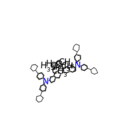 C[Si](C)(C)C1([Si](C)(C)C)c2cc3cc(N(c4ccc(C5CCCCC5)cc4)c4ccc(C5CCCCC5)cc4)ccc3cc2-c2cc3ccc(N(c4ccc(C5CCCCC5)cc4)c4ccc(C5CCCCC5)cc4)cc3cc21